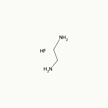 F.NCCN